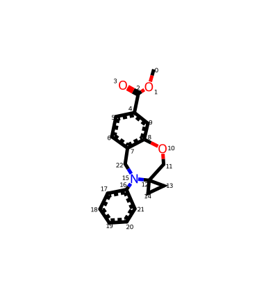 COC(=O)c1ccc2c(c1)OCC1(CC1)N(c1ccccc1)C2